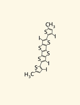 Cc1cc(I)c(-c2sc3c(sc4c5sc(-c6sc(C)cc6I)c(I)c5sc34)c2I)s1